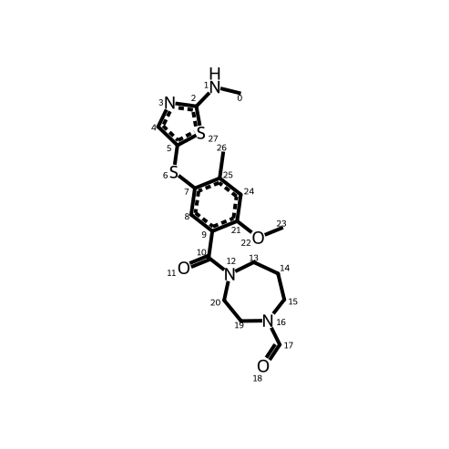 CNc1ncc(Sc2cc(C(=O)N3CCCN(C=O)CC3)c(OC)cc2C)s1